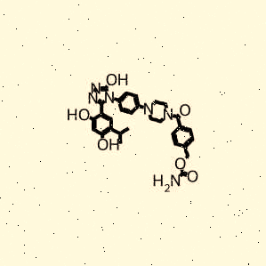 CC(C)c1cc(-c2nnc(O)n2-c2ccc(N3CCN(C(=O)c4ccc(COC(N)=O)cc4)CC3)cc2)c(O)cc1O